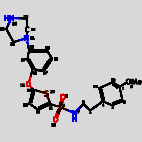 COc1ccc(CCNS(=O)(=O)c2ccc(Oc3cccc(N4CCNCC4)c3)s2)cc1